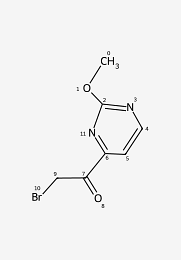 COc1nccc(C(=O)CBr)n1